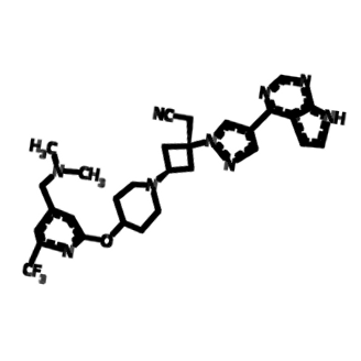 CN(C)Cc1cc(OC2CCN([C@H]3C[C@](CC#N)(n4cc(-c5ncnc6[nH]ccc56)cn4)C3)CC2)nc(C(F)(F)F)c1